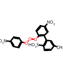 Cc1ccc(S(=O)(=O)O)c(-c2cc([N+](=O)[O-])ccc2OOOc2ccc([N+](=O)[O-])cc2)c1